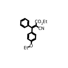 CCOC(=O)/C(C#N)=C(\c1ccccc1)c1ccc(OCC)cc1